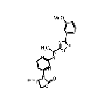 COc1cccc(-c2noc([C@H](C)Nc3nccc(N4C(=O)OC[C@@H]4C(C)C)n3)n2)c1